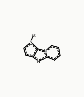 CCn1ccc2nc3ccccn3c21